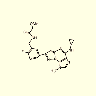 COCC(=O)NCc1cc(-c2cc3nc(NC4CC4)c4ncn(C)c4n3n2)ccc1F